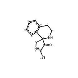 NCC1(C(=O)CCl)NCCc2ccccc21